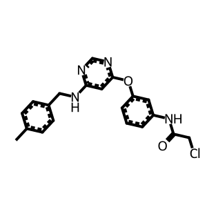 Cc1ccc(CNc2cc(Oc3cccc(NC(=O)CCl)c3)ncn2)cc1